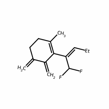 C=C1CCC(C)=C(/C(=C/CC)C(F)F)C1=C